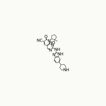 CC1(O)CCCC1n1c(=O)c(C#N)cc2cnc(Nc3nc4ccc(C5CCNCC5)cc4[nH]3)nc21